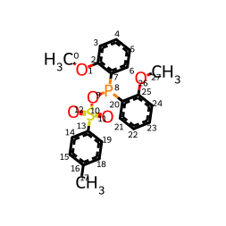 COc1ccccc1P(OS(=O)(=O)c1ccc(C)cc1)c1ccccc1OC